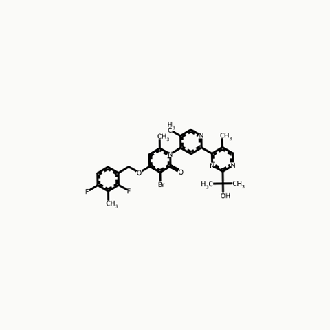 Cc1cnc(-c2nc(C(C)(C)O)ncc2C)cc1-n1c(C)cc(OCc2ccc(F)c(C)c2F)c(Br)c1=O